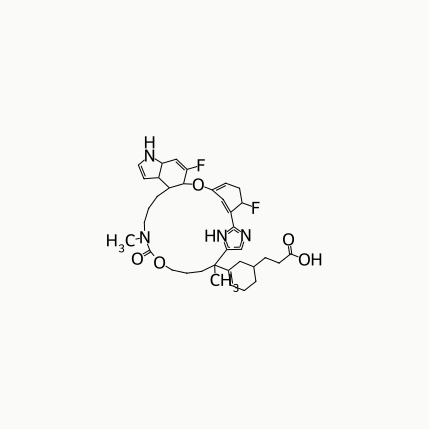 CN1CCCC2C(OC3=CCC(F)C(=C3)c3ncc([nH]3)C(C)(C3=CCCC(CCC(=O)O)C3)CCCOC1=O)C(F)=CC1NC=CC12